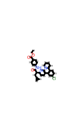 CCOC(=O)c1ccc(NC(=O)C(CC2CC2)c2ccc(-c3cc(Cl)ccc3-c3ccccn3)cn2)cc1